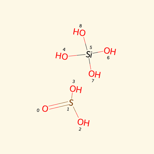 O=S(O)O.O[Si](O)(O)O